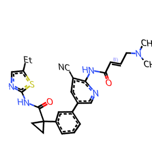 CCc1cnc(NC(=O)C2(c3cccc(-c4cnc(NC(=O)/C=C/CN(C)C)c(C#N)c4)c3)CC2)s1